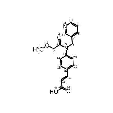 COCC(=O)N(Cc1cccnc1)c1ccc(/C=C/C(=O)O)cc1